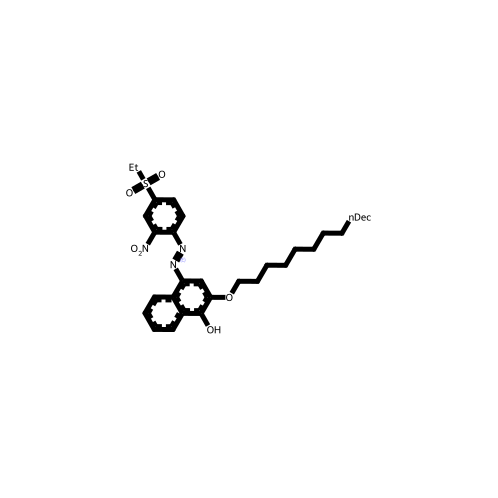 CCCCCCCCCCCCCCCCCCOc1cc(/N=N/c2ccc(S(=O)(=O)CC)cc2[N+](=O)[O-])c2ccccc2c1O